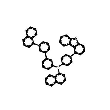 c1cc(-c2cccc(N(c3ccc(-c4cccc5sc6ccccc6c45)cc3)c3cccc4ccccc34)c2)cc(-c2cccc3ccccc23)c1